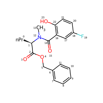 CCC[C@H](C(=O)OCc1ccccc1)N(C)C(=O)c1cc(F)ccc1O